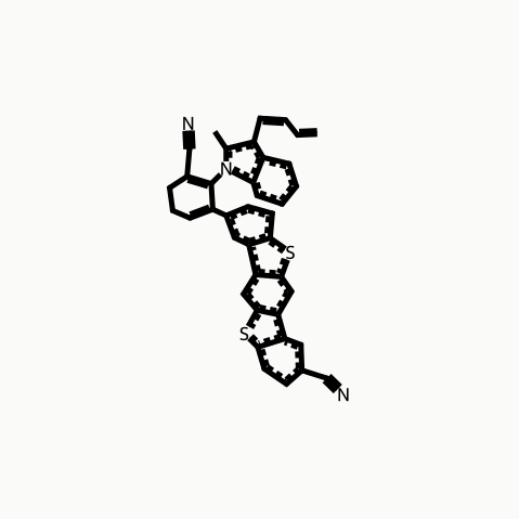 C=C/C=C\c1c(C)n(C2=C(C#N)CCC=C2c2ccc3sc4cc5c(cc4c3c2)sc2ccc(C#N)cc25)c2ccccc12